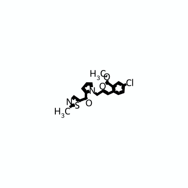 COC(=O)c1cc(Cl)ccc1C=CCn1cccc1C(=O)c1cnc(C)s1